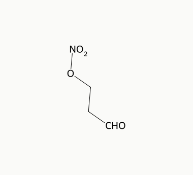 O=CCCO[N+](=O)[O-]